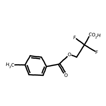 Cc1ccc(C(=O)OCC(F)(F)C(=O)O)cc1